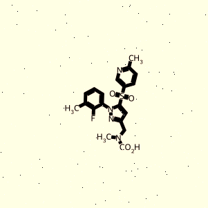 Cc1ccc(S(=O)(=O)c2cc(CN(C)C(=O)O)nn2-c2cccc(C)c2F)cn1